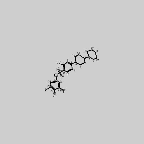 Fc1cc(C2CCC(C3CCCCC3)CC2)ccc1C(F)(F)Oc1cc(F)c(F)c(F)c1